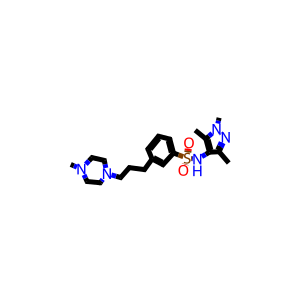 Cc1nn(C)c(C)c1NS(=O)(=O)c1cccc(CCCN2CCN(C)CC2)c1